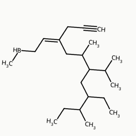 C#CC/C(=C/CBC)CC(C)C(CC(CC)C(C)CC)C(C)C